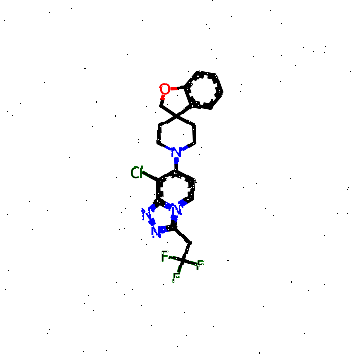 FC(F)(F)Cc1nnc2c(Cl)c(N3CCC4(CC3)COc3ccccc34)ccn12